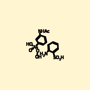 CC(=O)Nc1cccc([As](=O)(O)OO)c1.Nc1ccccc1S(=O)(=O)O